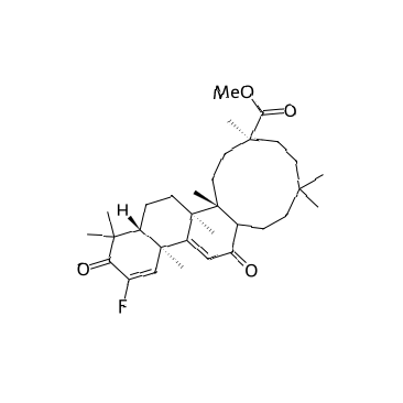 COC(=O)[C@@]1(C)CCC(C)(C)CCC2C(=O)C=C3[C@@]4(C)C=C(F)C(=O)C(C)(C)[C@@H]4CC[C@@]3(C)[C@]2(C)CC1